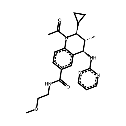 COCCNC(=O)c1ccc2c(c1)[C@H](Nc1ncccn1)[C@@H](C)[C@H](C1CC1)N2C(C)=O